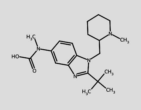 CN(C(=O)O)c1ccc2c(c1)nc(C(C)(C)C)n2CC1CCCCN1C